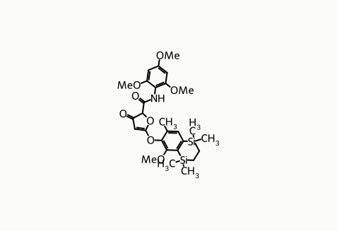 COc1cc(OC)c(NC(=O)C2OC(Oc3c(C)cc4c(c3OC)[Si](C)(C)CC[Si]4(C)C)=CC2=O)c(OC)c1